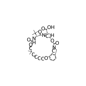 CC1(C)CCCCOc2cccc3c2CN(C3)C(=O)O[C@@H]2CC(C(=O)O)N(C2)C(=O)[C@H](C(C)(C)C)NC(=O)OC1